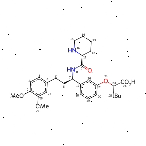 COc1ccc(CC[C@@H](NC(=O)[C@@H]2CCCCN2)c2cccc(OC(C(=O)O)C(C)(C)C)c2)cc1OC